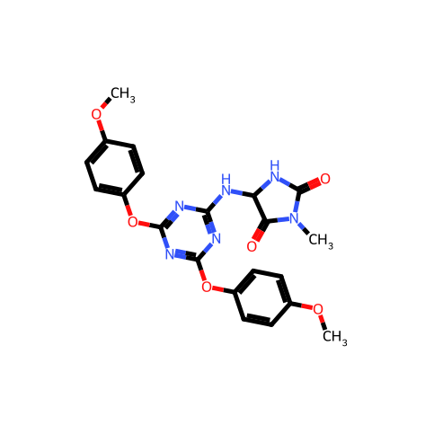 COc1ccc(Oc2nc(NC3NC(=O)N(C)C3=O)nc(Oc3ccc(OC)cc3)n2)cc1